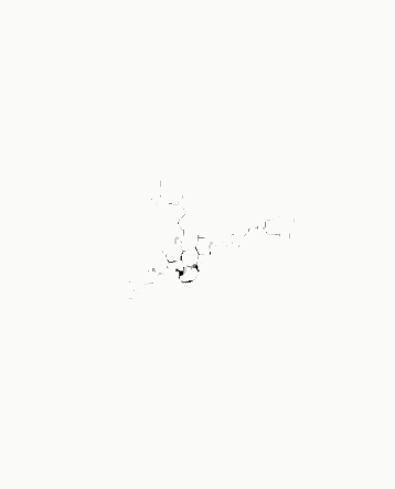 CCN(CC)CCCNNC(=N)c1c(NCCCN(CC)CC)c(C(=O)O)c(C(=O)NNCCCN(CC)CC)c2c3ccc(c(=O)[nH]c3=O)c12